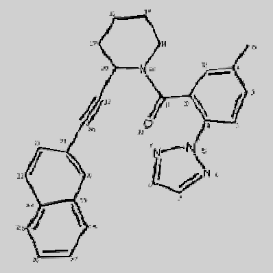 Cc1ccc(-n2nccn2)c(C(=O)N2CCCCC2C#Cc2ccc3ccccc3c2)c1